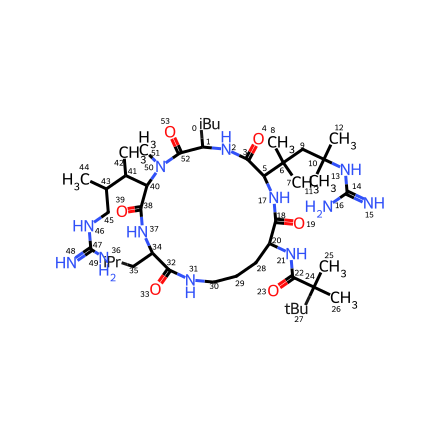 CCC(C)C1NC(=O)C(C(C)(C)CC(C)(C)NC(=N)N)NC(=O)C(NC(=O)C(C)(C)C(C)(C)C)CCCNC(=O)C(CC(C)C)NC(=O)C(C(C)C(C)CNC(=N)N)N(C)C1=O